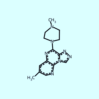 Cc1cnc2c(c1)nc(N1CCN(C)CC1)c1nncn12